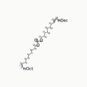 CCCCCCCC/C=C\CCCCCCCCOC(=O)OCCCCCCCC/C=C\CCCCCCCCCC